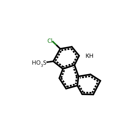 O=S(=O)(O)c1c(Cl)ccc2c1ccc1ccccc12.[KH]